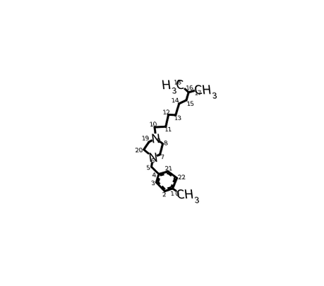 Cc1ccc(CN2CCN(CCCCCCC(C)C)CC2)cc1